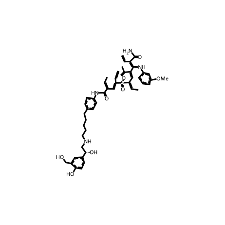 C=C\C(C(N)=O)=C(Nc1cccc(OC)c1)/C(=C/C(=C\C)S(=O)(=O)/C(C=C)=C/C(=C\C)C(=O)Nc1ccc(CCCCCNC[C@H](O)c2ccc(O)c(CO)c2)cc1)C(=C)C